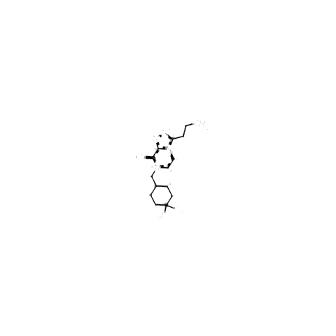 CCCc1nnc2c(=O)n(CC3CCC(F)(F)CC3)ccn12